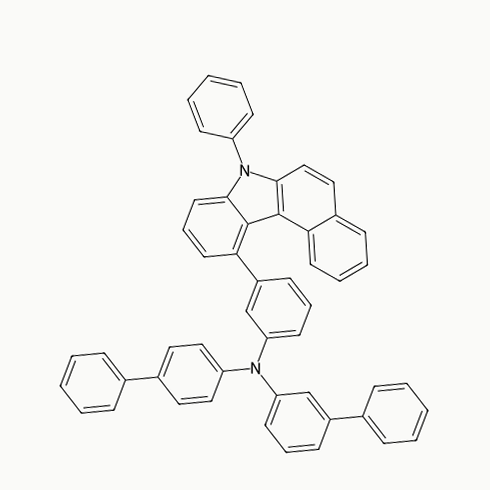 c1ccc(-c2ccc(N(c3cccc(-c4ccccc4)c3)c3cccc(-c4cccc5c4c4c6ccccc6ccc4n5-c4ccccc4)c3)cc2)cc1